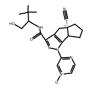 CC(C)(C)C(CO)NC(=O)c1nn(-c2c[n+]([O-])ccn2)c2c1C[C@@]1(C#N)CCCC21